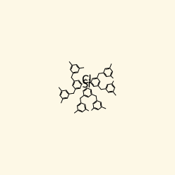 Cc1cc(C)cc(Cc2cc(Cc3cc(C)cc(C)c3)cc([Si](Cl)(c3cc(Cc4cc(C)cc(C)c4)cc(Cc4cc(C)cc(C)c4)c3)c3cc(Cc4cc(C)cc(C)c4)cc(Cc4cc(C)cc(C)c4)c3)c2)c1